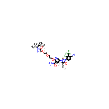 CC(NC(=O)COCCOCCCOc1ncc(N2C(=S)N(c3ccc(C#N)c(C(F)(F)F)c3F)C(=O)C2(C)C)cc1C(N)=O)C(C)(C)C